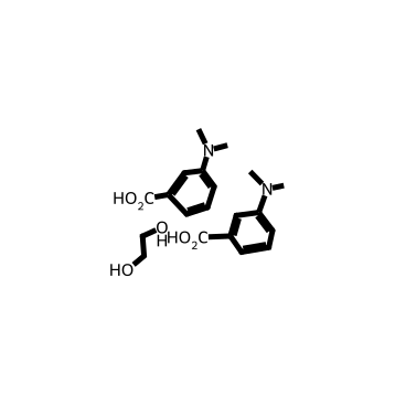 CN(C)c1cccc(C(=O)O)c1.CN(C)c1cccc(C(=O)O)c1.OCCO